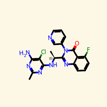 Cc1nc(N)c(Cl)c(N[C@@H](C)c2nc3cccc(F)c3c(=O)n2-c2cccnc2)n1